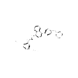 COc1ccc(OC)c(NC(=O)Nc2ccc(-c3ccc(CN4CCOCC4)nc3)c3ccccc23)c1